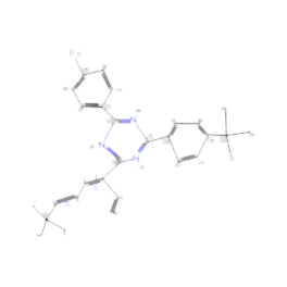 C=C/C(=C\C=C\C(C)(C)C)c1nc(-c2ccc(F)cc2)nc(-c2ccc(C(C)(C)C)cc2)n1